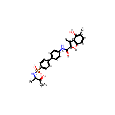 COC(=O)C(NS(=O)(=O)c1ccc(-c2ccc(NC(=O)c3oc4ccc(C(C)=O)c(O)c4c3C)cc2)cc1)C(C)C